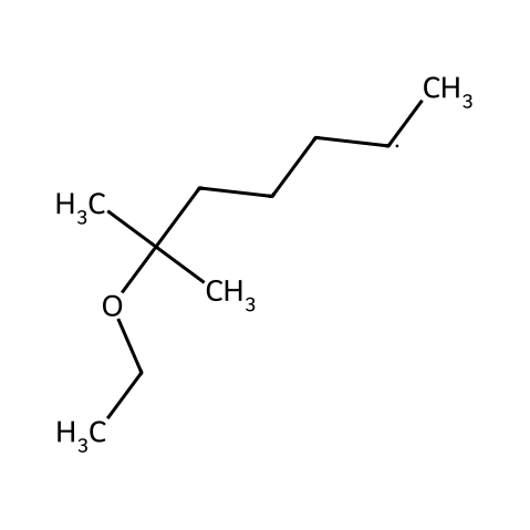 C[CH]CCCC(C)(C)OCC